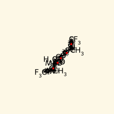 COC(=O)C(OC(=O)COc1ccc(SCc2sc(-c3ccc(C(F)(F)F)cc3)nc2C)cc1)Oc1ccc(SCc2oc(-c3ccc(C(F)(F)F)cc3)nc2C)cc1C